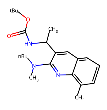 CCCCN(C)c1nc2c(C)cccc2cc1C(C)NC(=O)OC(C)(C)C